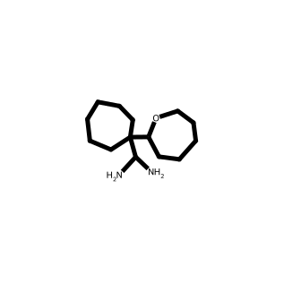 NC(N)C1(C2CCCCCO2)CCCCCC1